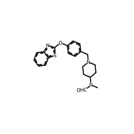 CN(C=O)C1CCN(Cc2ccc(Oc3nc4ccccc4s3)cc2)CC1